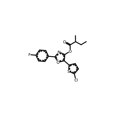 CCC(C)C(=O)Oc1nc(-c2ccc(F)cc2)oc1-c1ccc(Cl)s1